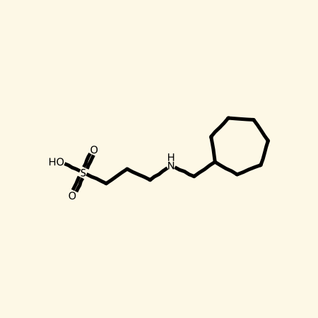 O=S(=O)(O)CCCNCC1CCCCCC1